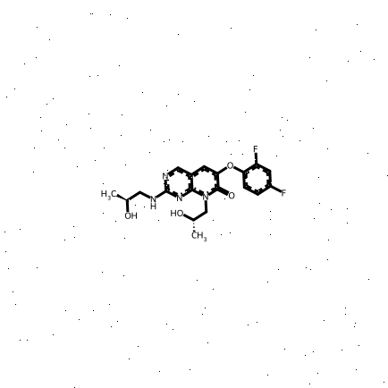 C[C@H](O)CNc1ncc2cc(Oc3ccc(F)cc3F)c(=O)n(C[C@H](C)O)c2n1